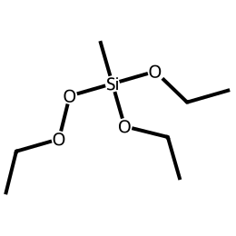 CCOO[Si](C)(OCC)OCC